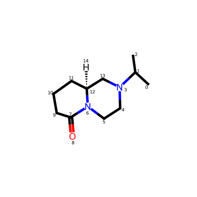 CC(C)N1CCN2C(=O)CCC[C@H]2C1